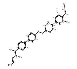 CCC/C=C/C(F)=C(\F)c1ccc(-c2ccc(CCC3COC(c4cc(F)c(N=C=S)c(F)c4)OC3)cc2)cc1